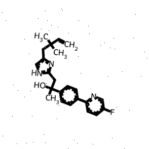 C=CC(C)(C)Cc1c[nH]c(CC(C)(O)c2ccc(-c3ccc(F)cn3)cc2)n1